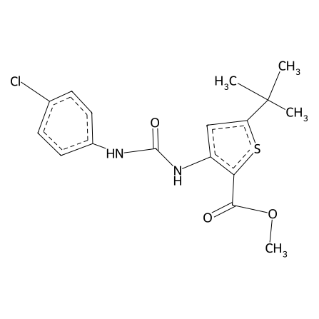 COC(=O)c1sc(C(C)(C)C)cc1NC(=O)Nc1ccc(Cl)cc1